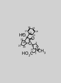 C[N+]1(CC(=O)O)CCC(OC(=O)[C@](O)(c2ccccc2)C2CCCC2)C1